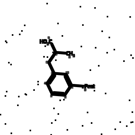 CCCCCc1cccc(CC(C)C(=O)O)c1